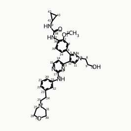 COc1cc(-c2nn(CCO)cc2-c2ccnc(Nc3cccc(CCN4CCOCC4)c3)n2)ccc1NC(=O)NC1CC1